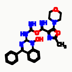 Cc1nc(C(=N)OC(=N)NC2N=C(c3ccccc3)c3ccccc3N2O)c(N2CCOCC2)o1